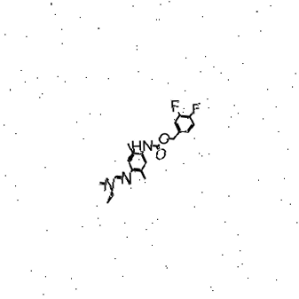 CCN(C)C=Nc1cc(C)c(NC(=O)OCc2ccc(F)c(F)c2)cc1C